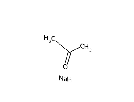 CC(C)=O.[NaH]